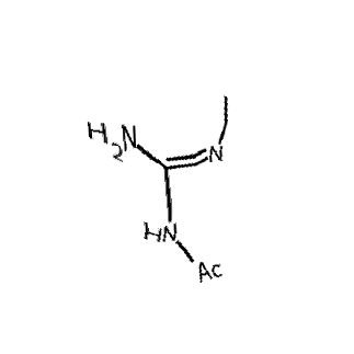 CN=C(N)NC(C)=O